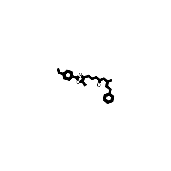 CCc1ccc(-c2nc(CCCC(=O)CC(C)CCc3ccccc3)c(C)o2)cc1